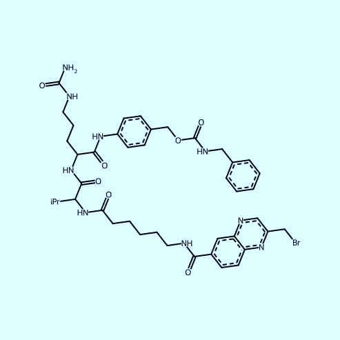 CC(C)C(NC(=O)CCCCCNC(=O)c1ccc2nc(CBr)cnc2c1)C(=O)NC(CCCNC(N)=O)C(=O)Nc1ccc(COC(=O)NCc2ccccc2)cc1